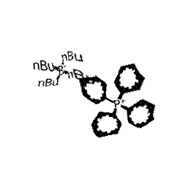 CCCC[B-](CCCC)(CCCC)CCCC.c1ccc([P+](c2ccccc2)(c2ccccc2)c2ccccc2)cc1